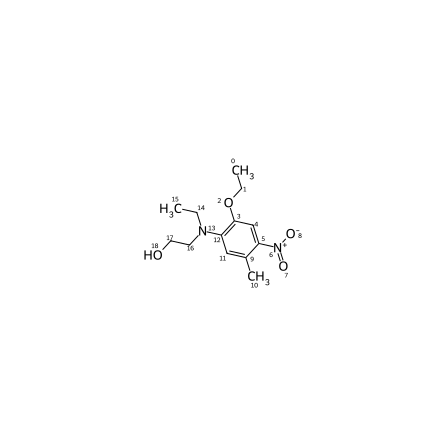 CCOc1cc([N+](=O)[O-])c(C)cc1N(CC)CCO